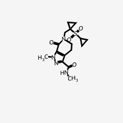 CNC(=O)c1nn(C)c2c1CCN(CC1(S(=O)(=O)C3CC3)CC1)C2=O